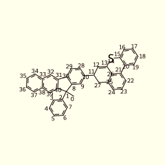 CC1(c2ccccc2)c2cc(C3C=C4Sc5ccccc5-c5cccc(c54)C3)ccc2-c2cc3ccccc3cc21